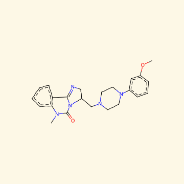 COc1cccc(N2CCN(CC3CN=C4c5ccccc5N(C)C(=O)N43)CC2)c1